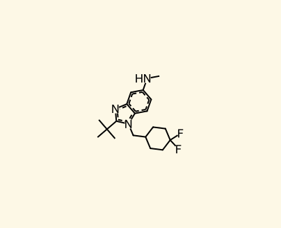 CNc1ccc2c(c1)nc(C(C)(C)C)n2CC1CCC(F)(F)CC1